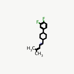 CC(C)=C/C=C/C1CCC(c2ccc(F)c(F)c2)CC1